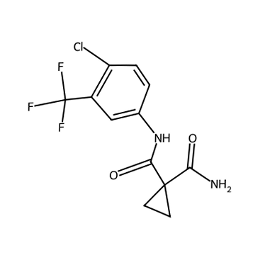 NC(=O)C1(C(=O)Nc2ccc(Cl)c(C(F)(F)F)c2)CC1